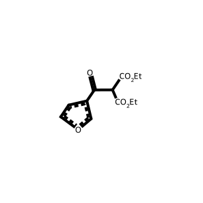 CCOC(=O)C(C(=O)OCC)C(=O)c1ccoc1